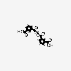 O=C(O)c1cccc(C(=O)OCOC(=O)c2cccc(C(=O)O)c2)c1